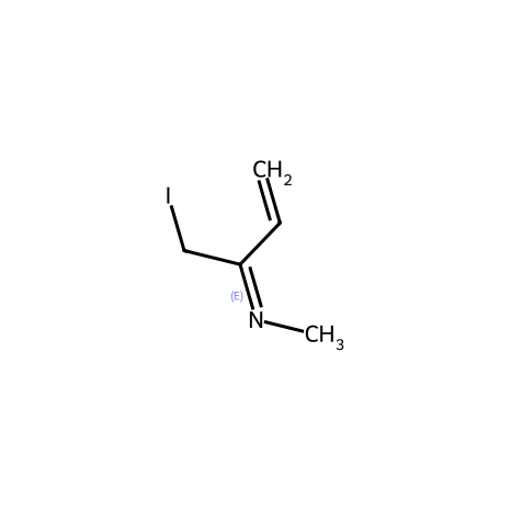 C=C/C(CI)=N\C